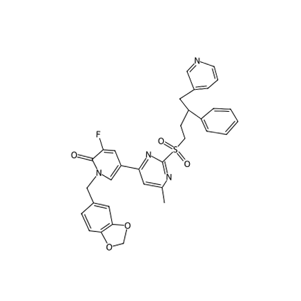 Cc1cc(-c2cc(F)c(=O)n(Cc3ccc4c(c3)OCO4)c2)nc(S(=O)(=O)CCC(Cc2cccnc2)c2ccccc2)n1